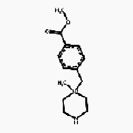 COC(=O)c1ccc(C[N+]2(C)CCNCC2)cc1